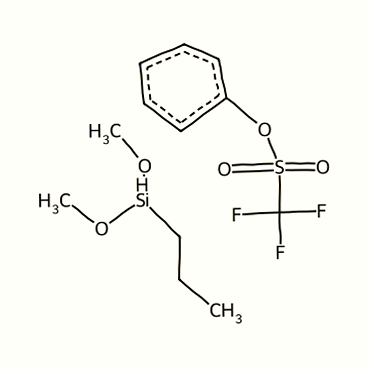 CCC[SiH](OC)OC.O=S(=O)(Oc1ccccc1)C(F)(F)F